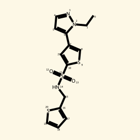 CCn1nccc1-c1csc(S(=O)(=O)NCc2cccs2)c1